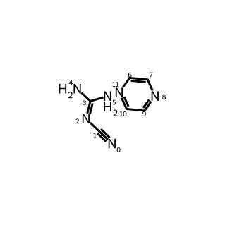 N#CN=C(N)N.c1cnccn1